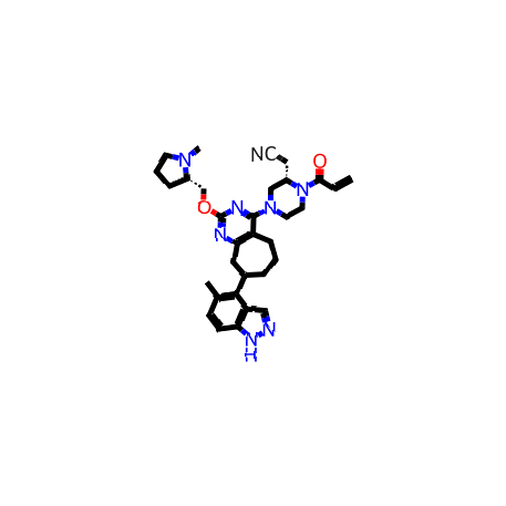 C=CC(=O)N1CCN(c2nc(OC[C@@H]3CCCN3C)nc3c2CCCC(c2c(C)ccc4[nH]ncc24)C3)C[C@@H]1CC#N